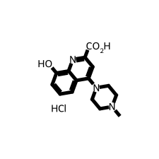 CN1CCN(c2cc(C(=O)O)nc3c(O)cccc23)CC1.Cl